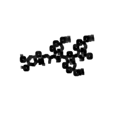 COc1cc2c(cc1OC)N(C)C(=C/C(C)=c1/s/c(=c3/o/c(=C4/SC(=O)N(CC(=O)O)C4=O)n(CC(=O)O)c3=O)n(CC(=O)O)c1=O)O2